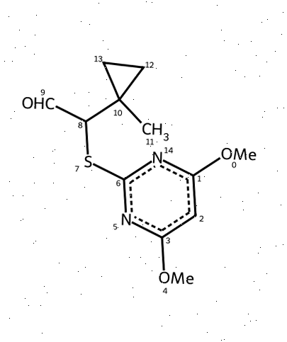 COc1cc(OC)nc(SC(C=O)C2(C)CC2)n1